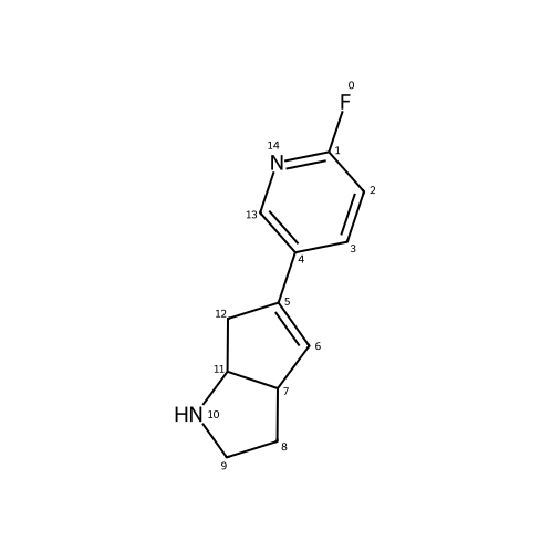 Fc1ccc(C2=CC3CCNC3C2)cn1